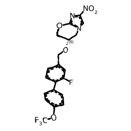 O=[N+]([O-])c1cn2c(n1)OC[C@@H](OCc1ccc(-c3ccc(OC(F)(F)F)cc3)c(F)c1)C2